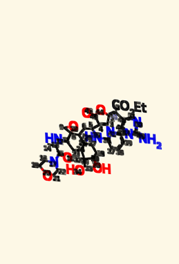 CCOC(=O)/C(=C1/C=C(C(CC2C3(CO3)C(NC(C)C(=O)N3CCOCC3)CC3[C@]2(C)CC[C@@H](O)[C@@]3(C)CO)Nc2ccccn2)C(=O)O1)c1cnc(N)nc1